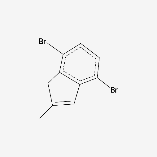 CC1=Cc2c(Br)ccc(Br)c2C1